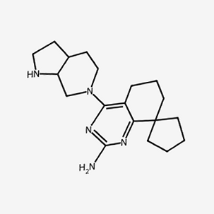 Nc1nc(N2CCC3CCNC3C2)c2c(n1)C1(CCCC1)CCC2